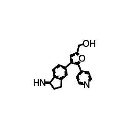 N=C1CCc2cc(-c3cc(CO)oc3-c3ccncc3)ccc21